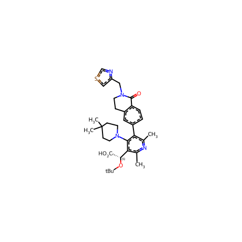 Cc1nc(C)c([C@H](OC(C)(C)C)C(=O)O)c(N2CCC(C)(C)CC2)c1-c1ccc2c(c1)CCN(Cc1cscn1)C2=O